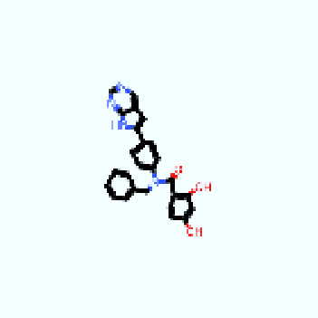 O=C(c1ccc(O)cc1O)N(Cc1ccccc1)c1ccc(-c2cc3cncnc3[nH]2)cc1